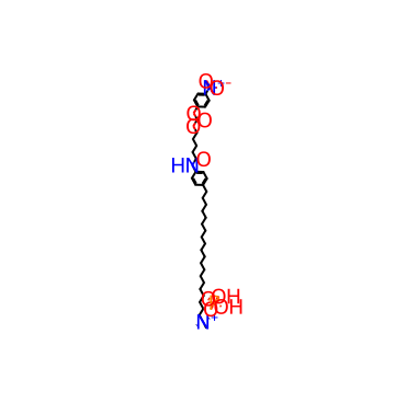 C[N+](C)(C)CC(CCCCCCCCCCCCCCCCCCc1ccc(NC(=O)CCCCOC(=O)Oc2ccc([N+](=O)[O-])cc2)cc1)OP(=O)(O)O